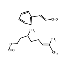 CC(C)=CCCC(C)CCOC=O.O=CC=Cc1ccccc1